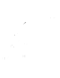 CCCCC[C@@H]1C[C@H]1C(=O)NC(C)C